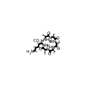 C[C@H](N)C(=O)N[C@@H](C)C(=O)N[C@@H](C)C(=O)N[C@@H](C)C(=O)N[C@@H](C)C(=O)N[C@@H](CCCCN)C(=O)O